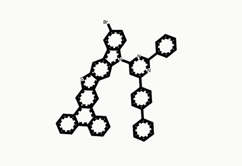 Brc1ccc2c(c1)c1cc3sc4cc5c6ccccc6c6ccccc6c5cc4c3cc1n2-c1cc(-c2ccc(-c3ccccc3)cc2)nc(-c2ccccc2)n1